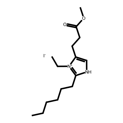 CCCCCCc1[nH]cc(CCC(=O)OC)[n+]1CC.[I-]